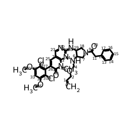 C=CCOCNC1CN(C(=O)Cc2ccccc2)CC1Nc1ncc2cc(-c3c(Cl)c(OC)cc(OC)c3Cl)c(=O)n(C)c2n1